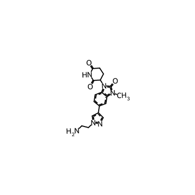 Cn1c(=O)n(C2CCC(=O)NC2=O)c2ccc(-c3cnn(CCN)c3)cc21